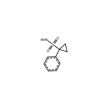 CNS(=O)(=O)C1(c2ccccc2)CC1